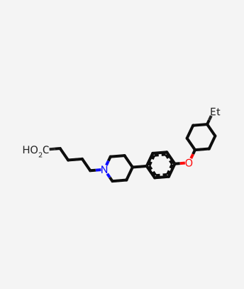 CCC1CCC(Oc2ccc(C3CCN(CCCCC(=O)O)CC3)cc2)CC1